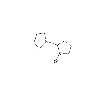 [O-][S+]1CCCC1N1CCCC1